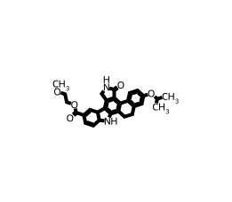 COCCOC(=O)C1=CC2c3c4c(c5c(c3NC2C=C1)CCc1cc(OC(C)C)ccc1-5)C(=O)NC4